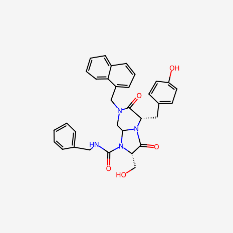 O=C1[C@H](Cc2ccc(O)cc2)N2C(=O)[C@H](CO)N(C(=O)NCc3ccccc3)C2CN1Cc1cccc2ccccc12